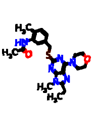 CCc1nc2c(N3CCOCC3)nc(SCc3ccc(C)c(NC(C)=O)c3)nc2n1C